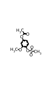 COc1cc(OC(C)=O)ccc1OS(C)(=O)=O